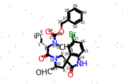 CC(C)C[C@@H](C(=O)N1C[C@]2(C[C@H]1C=O)C(=O)Nc1ccc(Br)cc12)N(C)C(=O)OCc1ccccc1